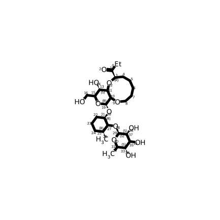 CCC(=O)[C@H]1CCCCCOC2C(O1)[C@@H](O)C(CO)O[C@H]2O[C@@H]1CCC[C@@H](C)C1O[C@@H]1OC(C)[C@@H](O)C(O)[C@@H]1O